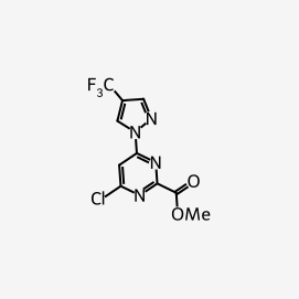 COC(=O)c1nc(Cl)cc(-n2cc(C(F)(F)F)cn2)n1